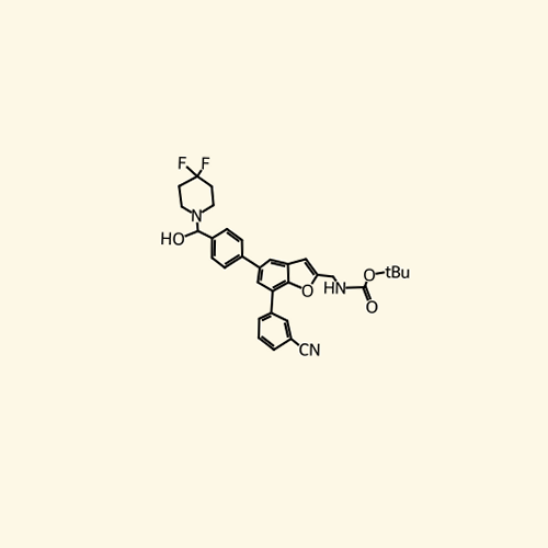 CC(C)(C)OC(=O)NCc1cc2cc(-c3ccc(C(O)N4CCC(F)(F)CC4)cc3)cc(-c3cccc(C#N)c3)c2o1